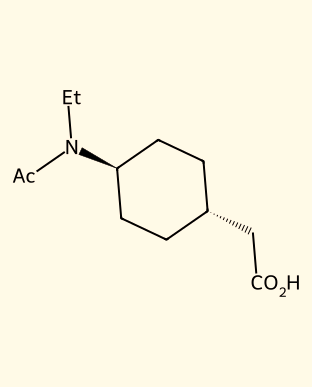 CCN(C(C)=O)[C@H]1CC[C@H](CC(=O)O)CC1